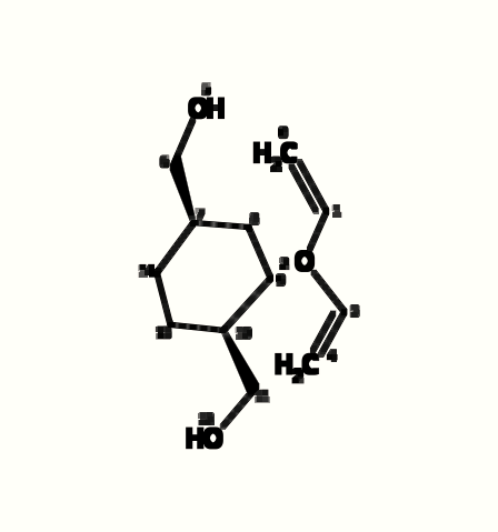 C=COC=C.OC[C@H]1CC[C@@H](CO)CC1